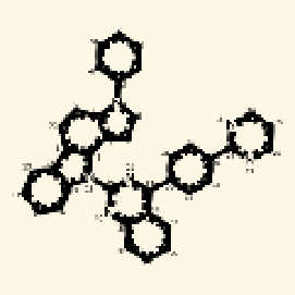 c1ccc(-n2ccc3c2ccc2c4ccccc4n(-c4nc(-c5ccc(-c6ncccn6)cc5)c5ccccc5n4)c23)cc1